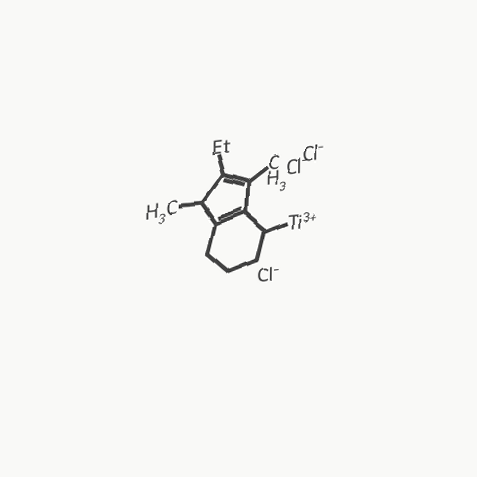 CCC1=C(C)C2=C(CCC[CH]2[Ti+3])C1C.[Cl-].[Cl-].[Cl-]